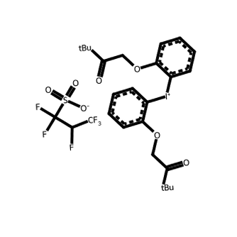 CC(C)(C)C(=O)COc1ccccc1[I+]c1ccccc1OCC(=O)C(C)(C)C.O=S(=O)([O-])C(F)(F)C(F)C(F)(F)F